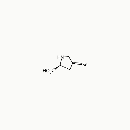 O=C(O)[C@@H]1CC(=[Se])CN1